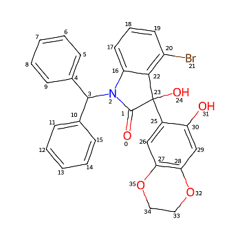 O=C1N(C(c2ccccc2)c2ccccc2)c2cccc(Br)c2C1(O)c1cc2c(cc1O)OCCO2